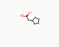 O=C([6O])CC1CCCC1